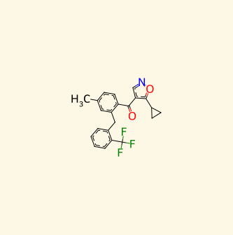 Cc1ccc(C(=O)c2cnoc2C2CC2)c(Cc2ccccc2C(F)(F)F)c1